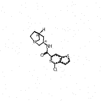 O=C(N[C@@H]1C[C@H]2CCN(C2)C1)c1cc2sccc2c(Cl)n1